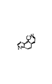 c1cc2ccc3nccc3c2on1